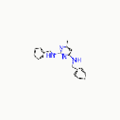 Cc1cc(NCc2ccccc2)nc(NCc2ccccc2)n1